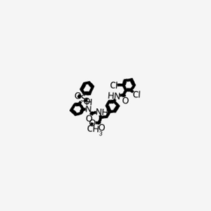 COC(=O)C(Cc1ccc(NC(=O)c2c(Cl)cccc2Cl)cc1)NC(=O)Nc1ccccc1S(=O)(=O)c1ccccc1